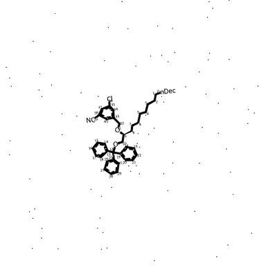 CCCCCCCCCCCCCCCCCC[C@@H](COC(c1ccccc1)(c1ccccc1)c1ccccc1)OCc1cc(Cl)cc(C#N)c1